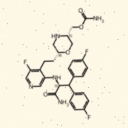 NC(=O)OC[C@@H]1CO[C@H](CCc2c(F)cncc2N[C@H](C(N)=O)C(c2ccc(F)cc2)c2ccc(F)cc2)CN1